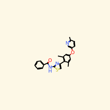 Cc1ccc(Oc2cc(C)c(-c3csc(NC(=O)c4ccccc4)n3)c(C)c2)cn1